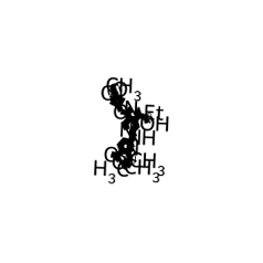 CC[C@H](O)c1cnc(OC2CN(S(C)(=O)=O)C2)c2cnc(Nc3ccc4c(n3)[C@@H](C)C(C)(C)OC4=O)cc12